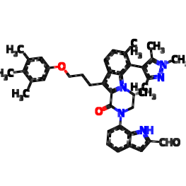 Cc1cc(OCCCc2c3n(c4c(-c5c(C)nn(C)c5C)c(C)ccc24)[C@H](C)CN(c2cccc4cc(C=O)[nH]c24)C3=O)cc(C)c1C